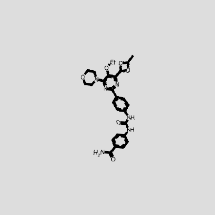 CCOc1c(C2OC(C)O2)nc(-c2ccc(NC(=O)Nc3ccc(C(N)=O)cc3)cc2)nc1N1CCOCC1